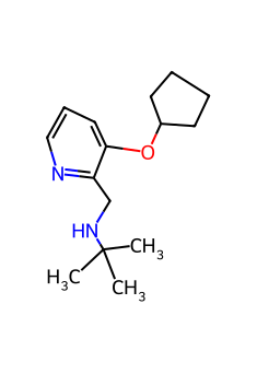 CC(C)(C)NCc1ncccc1OC1CCCC1